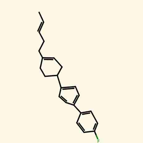 CC=CCCC1=CCC(c2ccc(-c3ccc(F)cc3)cc2)CC1